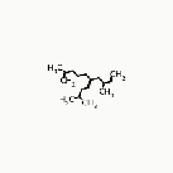 C=CC(C)CC(=CCC(C)C)CCCC(=C)C